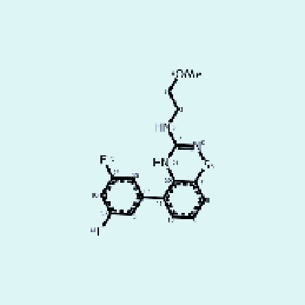 COCCNC1=NSc2cccc(-c3cc(F)cc(F)c3)c2N1